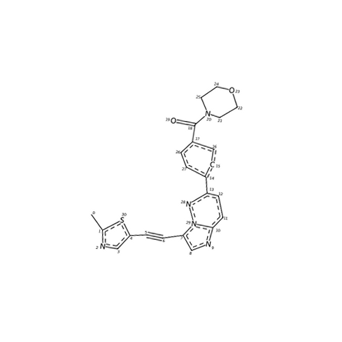 Cc1ncc(C#Cc2cnc3ccc(-c4ccc(C(=O)N5CCOCC5)cc4)nn23)s1